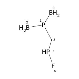 BP(B)CPF